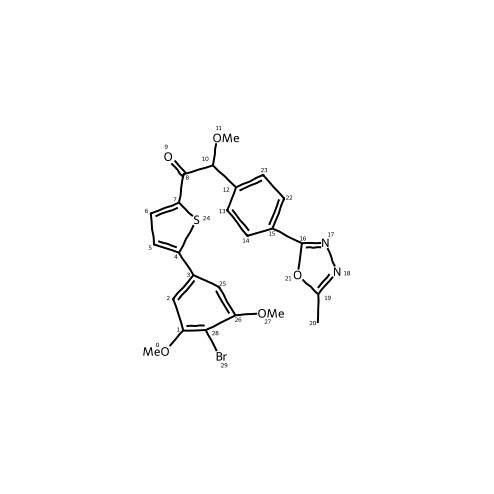 COc1cc(-c2ccc(C(=O)C(OC)c3ccc(-c4nnc(C)o4)cc3)s2)cc(OC)c1Br